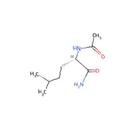 CC(=O)N[C@@H](CCC(C)C)C(N)=O